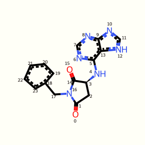 O=C1C[C@H](Nc2ncnc3nc[nH]c23)C(=O)N1Cc1ccccc1